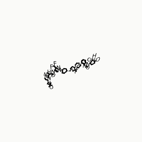 Cn1c(=O)n(C2CCC(=O)NC2=O)c2cccc(N3CCN(C4CCN(C[C@H]5CC[C@H](n6cc(NC(=O)c7cnn8ccc(N9CC%10(COC%10)C9)nc78)c(C(F)F)n6)CC5)CC4(F)F)CC3)c21